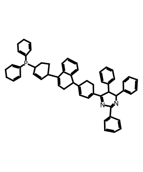 C1=CC(P(C2=CCCC=C2)C2C=CC(C3=CCC(C4=CC=C(C5=NC(c6ccccc6)=NC(c6ccccc6)C5c5ccccc5)CC4)c4ccccc43)CC2)=CCC1